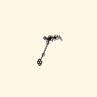 C[N+](C)(C)CCOP(=O)([O-])OCC(COCCCCCCCCCCOCCCCc1ccc2ccc3cccc4ccc1c2c34)OC(=O)c1ccccc1